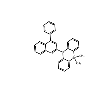 C[Si]1(C)c2ccccc2N(c2nc(-c3ccccc3)c3ccccc3n2)c2ccccc21